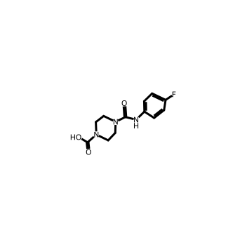 O=C(O)N1CCN(C(=O)Nc2ccc(F)cc2)CC1